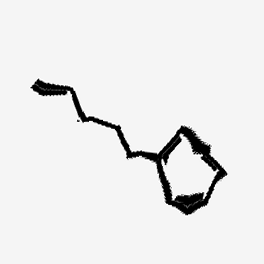 C=C[CH]CCc1ccccc1